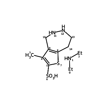 CCNCC.Cc1c(S(=O)(=O)O)sc2c1CNNCC2